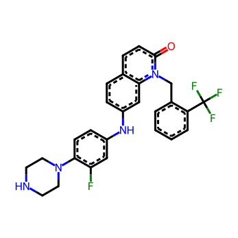 O=c1ccc2ccc(Nc3ccc(N4CCNCC4)c(F)c3)cc2n1Cc1ccccc1C(F)(F)F